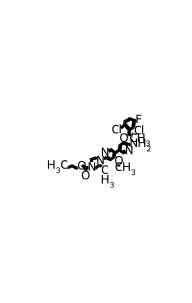 CCCCOC(=O)N1CCN(c2cc(OC)c(-c3cnc(N)c(O[C@H](C)c4c(Cl)ccc(F)c4Cl)c3)cn2)C(C)C1